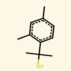 Cc1ccc(C(C)(C)S)c(C)c1